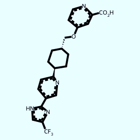 O=C(O)c1cc(OC[C@H]2CC[C@H](c3ccc(-c4nc(C(F)(F)F)c[nH]4)cn3)CC2)ccn1